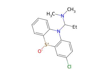 CCC(N(C)C)N1c2ccccc2[S+]([O-])c2cc(Cl)ccc21